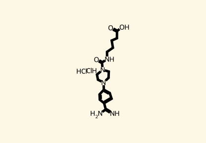 Cl.Cl.N=C(N)c1ccc(N2CCN(C(=O)NCCCCC(=O)O)CC2)cc1